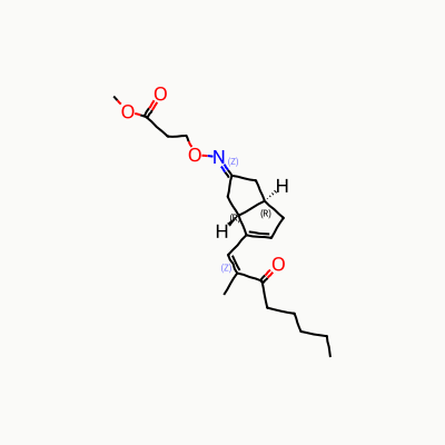 CCCCCC(=O)/C(C)=C\C1=CC[C@@H]2C/C(=N/OCCC(=O)OC)C[C@@H]12